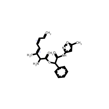 C=C/C=C\C=C(/C)C(N)C(=C)OC(C(=O)Nc1cc(C)on1)c1ccccc1